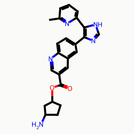 Cc1cccc(-c2[nH]cnc2-c2ccc3ncc(C(=O)OC4CCC(N)C4)cc3c2)n1